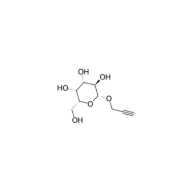 C#CCO[C@@H]1O[C@H](CO)[C@H](O)[C@H](O)[C@H]1O